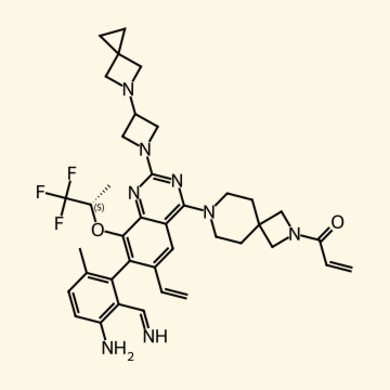 C=CC(=O)N1CC2(CCN(c3nc(N4CC(N5CC6(CC6)C5)C4)nc4c(O[C@@H](C)C(F)(F)F)c(-c5c(C)ccc(N)c5C=N)c(C=C)cc34)CC2)C1